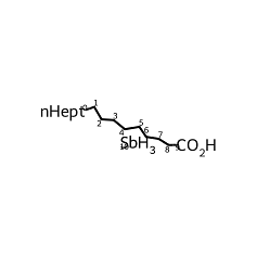 CCCCCCCCCCCCCCCC(=O)O.[SbH3]